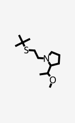 COC(C)C1CCCN1CCSC(C)(C)C